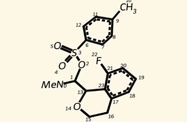 CNC(OS(=O)(=O)c1ccc(C)cc1)C1OCCc2cccc(F)c21